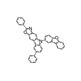 c1ccc(-c2ccc3c(c2)c2cc4oc(-c5ccccc5)nc4cc2n3-c2ccc3oc4ccccc4c3c2)cc1